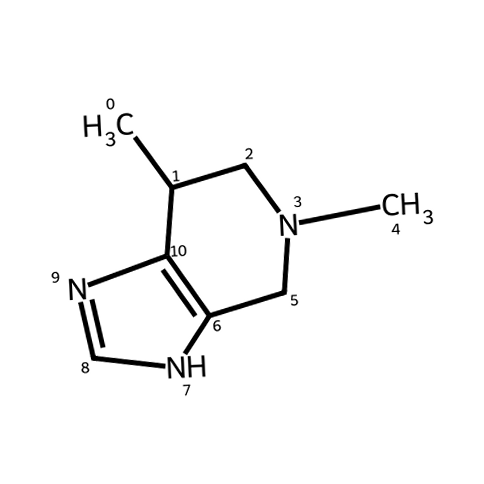 CC1CN(C)Cc2[nH]cnc21